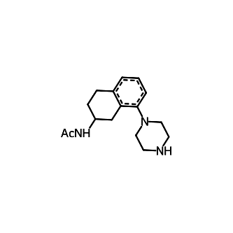 CC(=O)NC1CCc2cccc(N3CCNCC3)c2C1